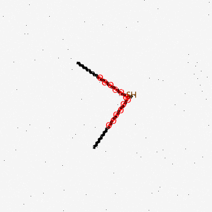 [CH2]CC(S)(OCCOCCOCCOCCOCCOCCCCCCCCCCCCC)OCCOCCOCCOCCOCCOCCCCCCCCCCCCC